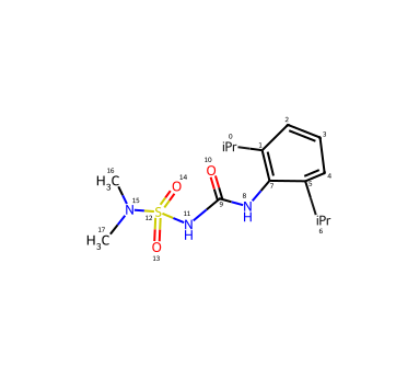 CC(C)c1cccc(C(C)C)c1NC(=O)NS(=O)(=O)N(C)C